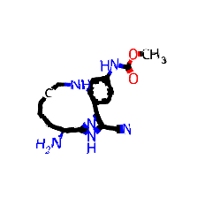 COC(=O)Nc1ccc2c(c1)NCCCCC[C@H](N)c1nc-2c(C#N)[nH]1